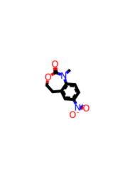 CN1C(=O)OCCc2cc([N+](=O)[O-])ccc21